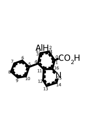 O=C(O)c1ccc(-c2ccccc2)c2cccnc12.[AlH3]